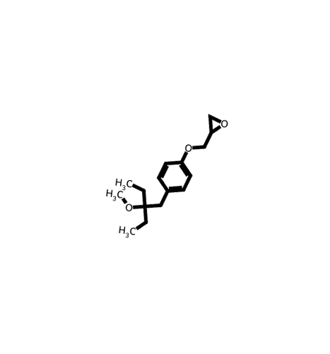 CCC(CC)(Cc1ccc(OCC2CO2)cc1)OC